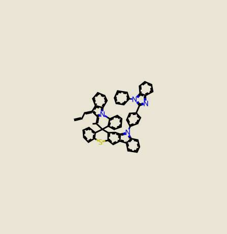 C=C/C=c1\c2n(c3ccccc13)-c1ccccc1C1(C=2C)c2ccccc2Sc2cc3c4ccccc4n(-c4ccc(-c5nc6ccccc6n5-c5ccccc5)cc4)c3cc21